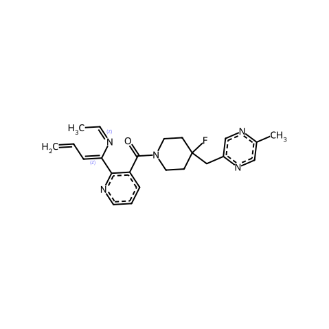 C=C/C=C(\N=C/C)c1ncccc1C(=O)N1CCC(F)(Cc2cnc(C)cn2)CC1